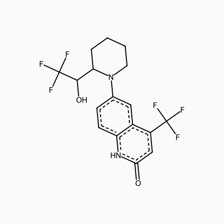 O=c1cc(C(F)(F)F)c2cc(N3CCCCC3C(O)C(F)(F)F)ccc2[nH]1